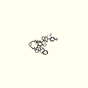 CN1CCOCCNn2cc(C(=O)NCc3ccc(F)cc3F)c(=O)c(OCc3ccccc3)c2C1=O